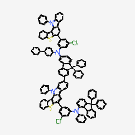 Clc1cc(-c2cc3c4ccccc4n(-c4ccccc4)c3c3c2sc2ccccc23)cc(N(c2ccc(-c3ccccc3)cc2)c2ccc3c(c2)-c2ccc(-c4ccc5c6cc(-c7cc(Cl)cc(N(c8ccccc8)c8cccc9c8-c8ccccc8C9(c8ccccc8)c8ccccc8)c7)c7sc8ccccc8c7c6n(-c6ccccc6)c5c4)cc2C3(c2ccccc2)c2ccccc2)c1